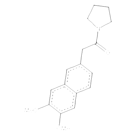 COc1cc2ccc(CC(=O)N3CCCC3)cc2cc1OC